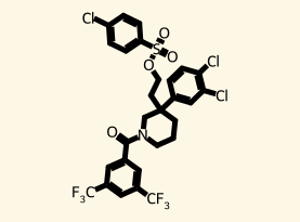 O=C(c1cc(C(F)(F)F)cc(C(F)(F)F)c1)N1CCCC(CCOS(=O)(=O)c2ccc(Cl)cc2)(c2ccc(Cl)c(Cl)c2)C1